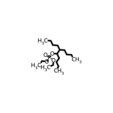 CCCCC(CCCC)C(CCCC)OP(=O)(OCC)OCC